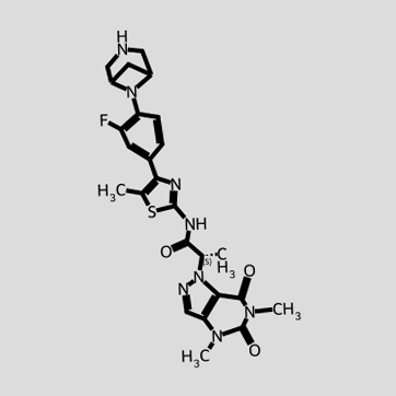 Cc1sc(NC(=O)[C@H](C)n2ncc3c2c(=O)n(C)c(=O)n3C)nc1-c1ccc(N2C3CNCC2C3)c(F)c1